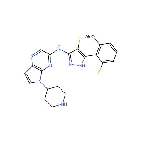 COc1cccc(F)c1-c1[nH]nc(Nc2cnc3ccn(C4CCNCC4)c3n2)c1F